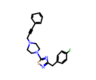 Fc1ccc(Cc2nsc(N3CCN(CC#Cc4ccccc4)CC3)n2)cc1